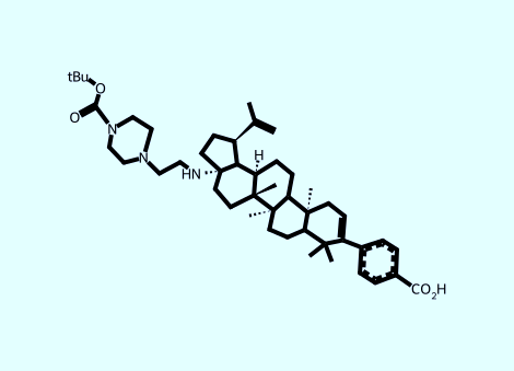 C=C(C)[C@@H]1CC[C@]2(NCCN3CCN(C(=O)OC(C)(C)C)CC3)CC[C@]3(C)[C@H](CCC4[C@@]5(C)CC=C(c6ccc(C(=O)O)cc6)C(C)(C)C5CC[C@]43C)C12